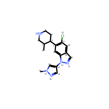 CC1CNCCC1c1cc2c(cnn2-c2cnn(C)c2)cc1Cl